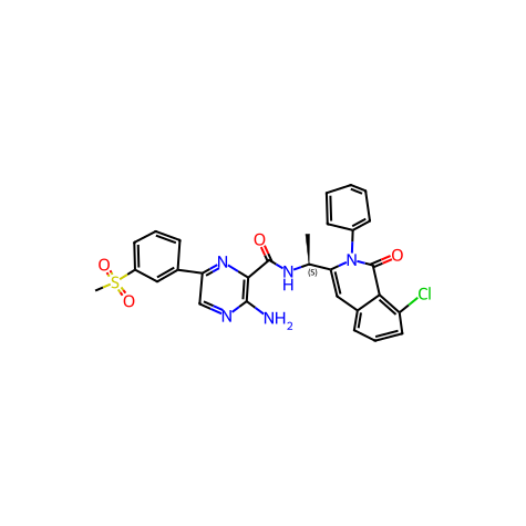 C[C@H](NC(=O)c1nc(-c2cccc(S(C)(=O)=O)c2)cnc1N)c1cc2cccc(Cl)c2c(=O)n1-c1ccccc1